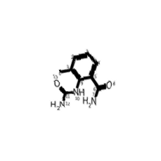 Cc1cccc(C(N)=O)c1NC(N)=O